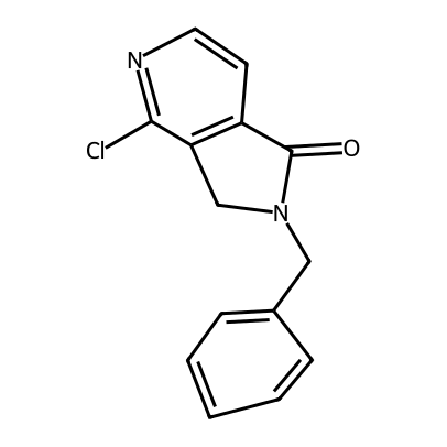 O=C1c2ccnc(Cl)c2CN1Cc1ccccc1